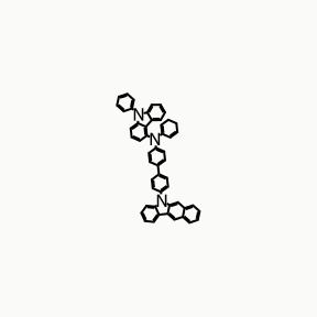 C1=CC(N(c2ccc(-c3ccc(-n4c5ccccc5c5cc6ccccc6cc54)cc3)cc2)c2cccc3c2c2ccccc2n3-c2ccccc2)=CCC1